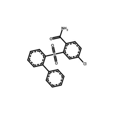 NC(=O)c1ccc(Cl)cc1S(=O)(=O)c1ccccc1-c1ccccc1